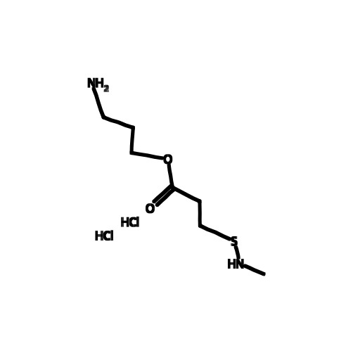 CNSCCC(=O)OCCCN.Cl.Cl